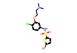 CN(C)CCOc1cc(NS(=O)(=O)c2ccc(Br)s2)ccc1Cl